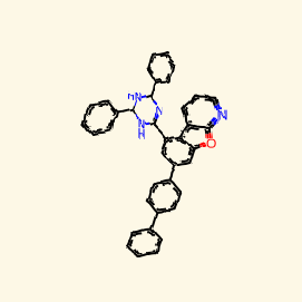 c1ccc(-c2ccc(-c3cc(C4=NC(c5ccccc5)NC(c5ccccc5)N4)c4c(c3)oc3ncccc34)cc2)cc1